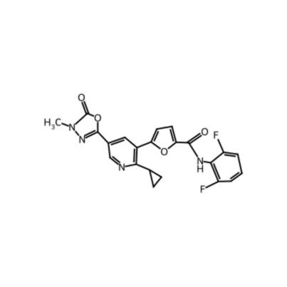 Cn1nc(-c2cnc(C3CC3)c(-c3ccc(C(=O)Nc4c(F)cccc4F)o3)c2)oc1=O